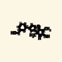 CN1C(=N)NC(C)(c2cc(-c3cccc(CO)c3)cs2)C1=O